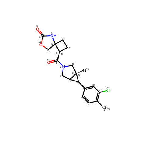 Cc1ccc(C2C3CN(C(=O)[C@@H]4CCC45COC(=O)N5)C[C@H]32)cc1Cl